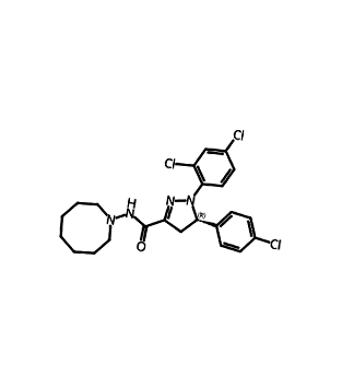 O=C(NN1CCCCCCC1)C1=NN(c2ccc(Cl)cc2Cl)[C@@H](c2ccc(Cl)cc2)C1